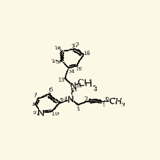 CC#CCN(c1cccnc1)N(C)Cc1ccccc1